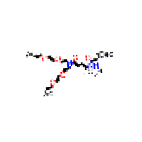 CCCCCCCCCCCC(=O)NC(CCC(=O)N(CCOCCOCCC(C)=O)CCOCCOCCC(C)=O)C(=O)O